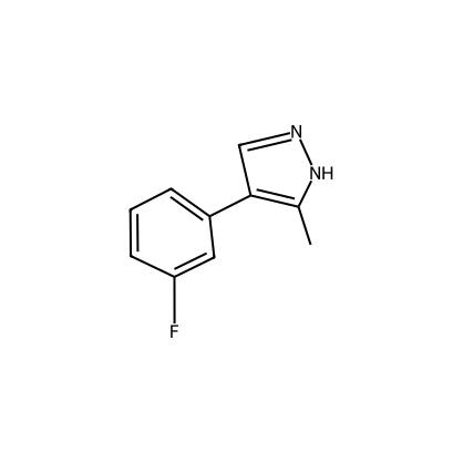 Cc1[nH]ncc1-c1cccc(F)c1